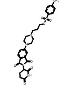 Cc1ccc(S(=O)(=O)OCCCN2CCN(c3ccc4c(c3)C(=O)N(C3CCC(=O)NC3=O)C4=O)CC2)cc1